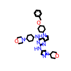 c1ccc(CO[C@H]2CC[C@H](n3ccc4nc(Nc5cnn(C6CCOCC6)c5)nc(N[C@H]5CC[C@H](N6CCOCC6)CC5)c43)CC2)cc1